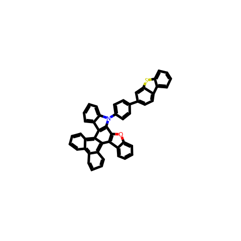 c1ccc2c(c1)oc1c2c2c3ccccc3c3ccccc3c2c2c3ccccc3n(-c3ccc(-c4ccc5c(c4)sc4ccccc45)cc3)c12